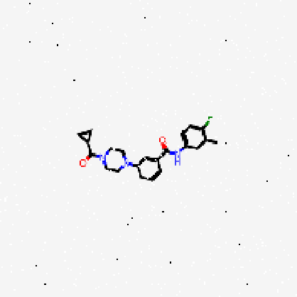 CC1CC(NC(=O)C2=CC(N3CCN(C(=O)C4CC4)CC3)CC=C2)=CC=C1F